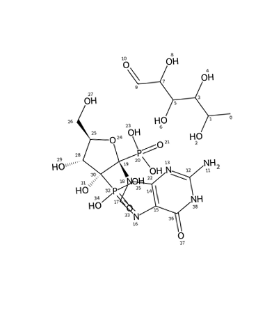 CC(O)C(O)C(O)C(O)C=O.Nc1nc2c(ncn2[C@]2(P(=O)(O)O)O[C@H](CO)[C@@H](O)[C@]2(O)P(=O)(O)O)c(=O)[nH]1